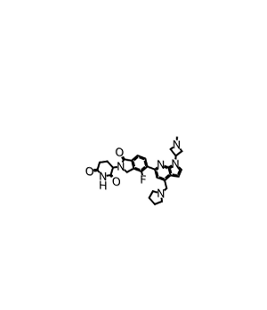 CN1CC(n2ccc3c(CN4CCCC4)cc(-c4ccc5c(c4F)CN(C4CCC(=O)NC4=O)C5=O)nc32)C1